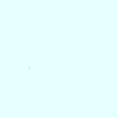 O=CC1=C(c2ccccc2)OC(=O)C1